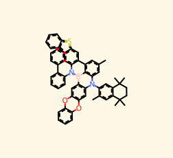 Cc1cc2c3c(c1)N(c1cc4c(cc1C)C(C)(C)CCC4(C)C)c1cc4c(cc1B3N(c1ccccc1-c1ccccc1)c1cc3c(cc1-2)sc1ccccc13)Oc1ccccc1O4